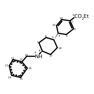 CCOC(=O)C1=CCC([C@H]2CC[C@H](NCc3ccccc3)CC2)C=C1